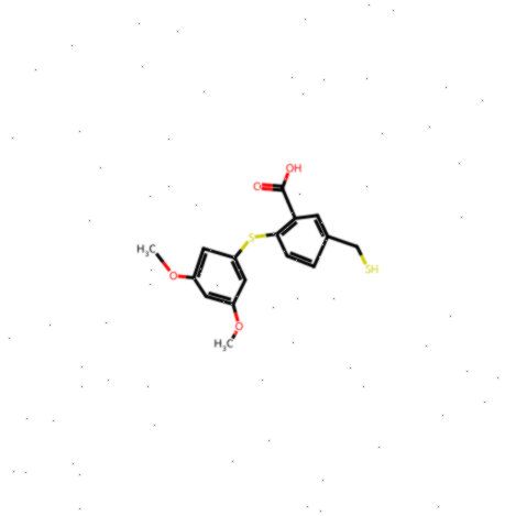 COc1cc(OC)cc(Sc2ccc(CS)cc2C(=O)O)c1